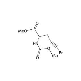 COC(=O)C(CC#CBr)NC(=O)OC(C)(C)C